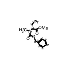 COC(=O)[C@H](CC(C)C)N(C)C(=O)OCc1ccccc1